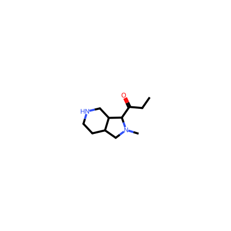 CCC(=O)C1C2CNCCC2CN1C